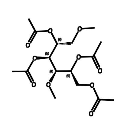 COC[C@@H](OC(C)=O)[C@H](OC(C)=O)[C@H](OC)[C@H](COC(C)=O)OC(C)=O